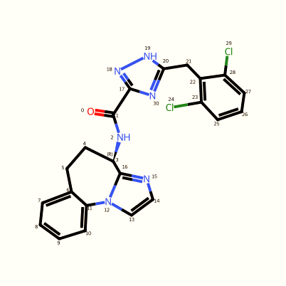 O=C(N[C@@H]1CCc2ccccc2-n2ccnc21)c1n[nH]c(Cc2c(Cl)cccc2Cl)n1